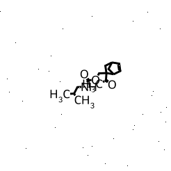 CC(=O)C1(COC(=O)NCC(C)C)CC2C=CC1C2